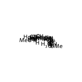 COC(=O)N[C@@H](C)C(=O)N1CCC[C@H]1C(=O)N[C@H](C)c1ccc(-c2ccc3cc(-c4cnc([C@@H]5CCCN5C(=O)[C@H](C)NC(=O)OC)[nH]4)ccc3c2)cc1